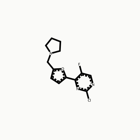 Fc1cnc(Cl)nc1-c1ccc(CN2CCCC2)o1